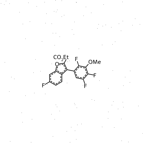 CCOC(=O)c1oc2cc(F)ccc2c1-c1cc(F)c(F)c(OC)c1F